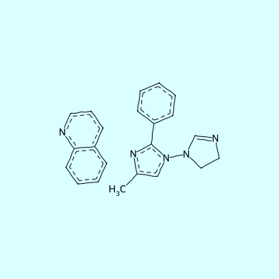 Cc1cn(N2C=NCC2)c(-c2ccccc2)n1.c1ccc2ncccc2c1